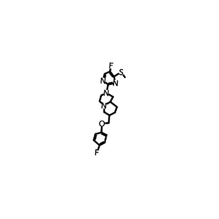 CSc1nc(N2CCN3CC(COc4ccc(F)cc4)CCC3C2)ncc1F